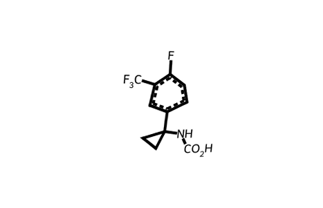 O=C(O)NC1(c2ccc(F)c(C(F)(F)F)c2)CC1